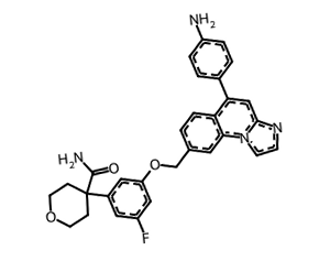 NC(=O)C1(c2cc(F)cc(OCc3ccc4c(-c5ccc(N)cc5)cc5nccn5c4c3)c2)CCOCC1